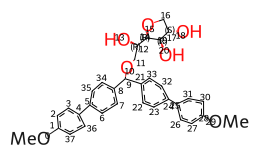 COc1ccc(-c2ccc(C(OC[C@@H](O)[C@H]3OC[C@H](O)[C@H]3O)c3ccc(-c4ccc(OC)cc4)cc3)cc2)cc1